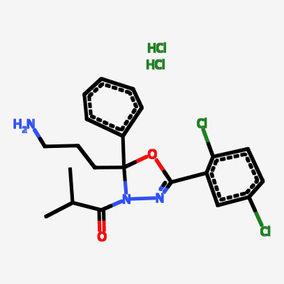 CC(C)C(=O)N1N=C(c2cc(Cl)ccc2Cl)OC1(CCCN)c1ccccc1.Cl.Cl